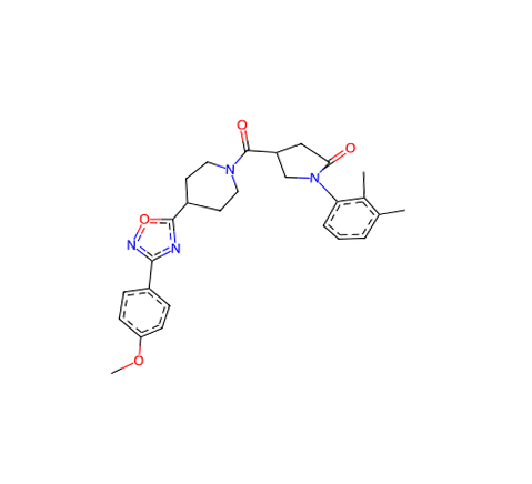 COc1ccc(-c2noc(C3CCN(C(=O)C4CC(=O)N(c5cccc(C)c5C)C4)CC3)n2)cc1